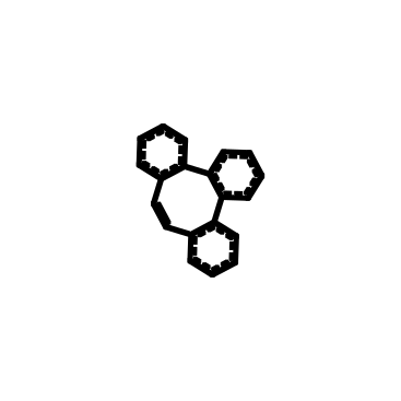 C1=C\c2ccccc2-c2ccccc2-c2ccccc2/1